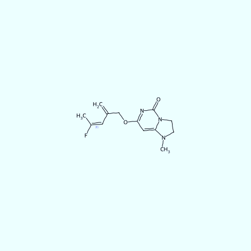 C=C(/C=C(\C)F)COc1cc2n(c(=O)n1)CCN2C